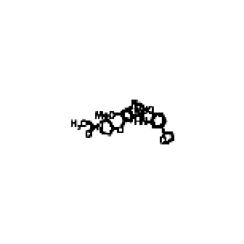 C=CC(=O)N1CCC(Oc2cc3c(Nc4cc(C5CCCO5)ccc4OC)ncnc3cc2OC)CC1